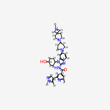 Cc1cc(C(=O)Nc2nc3ccc(N4CCC(N5CCC6(CC5)CN(C)C6)CC4)cc3n2C2CCC(O)CC2)cc(-c2cnn(C)c2C)n1